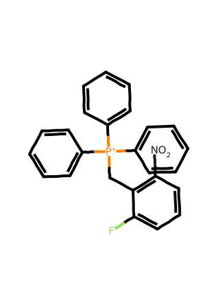 O=[N+]([O-])c1cccc(F)c1C[P+](c1ccccc1)(c1ccccc1)c1ccccc1